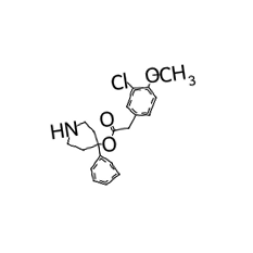 COc1ccc(CC(=O)OC2(c3ccccc3)CCNCC2)cc1Cl